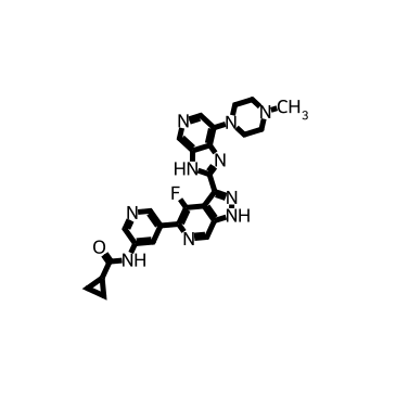 CN1CCN(c2cncc3[nH]c(-c4n[nH]c5cnc(-c6cncc(NC(=O)C7CC7)c6)c(F)c45)nc23)CC1